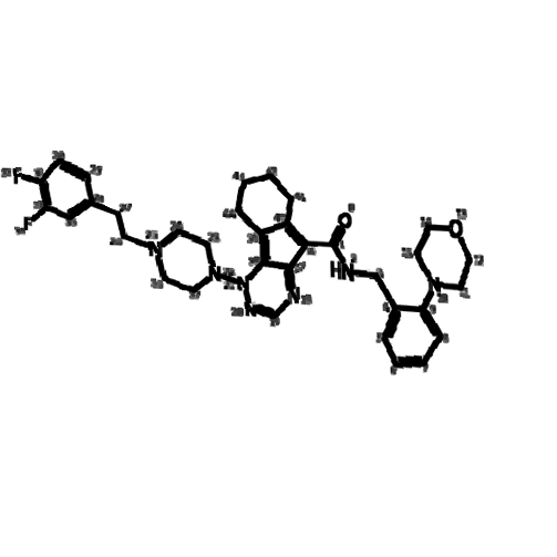 O=C(NCc1ccccc1N1CCOCC1)c1c2ncnn(N3CCN(CCc4ccc(F)c(F)c4)CC3)c-2c2c1CCCC2